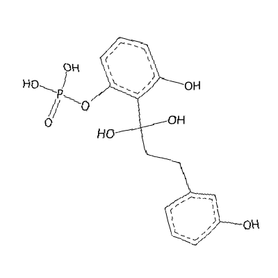 O=P(O)(O)Oc1cccc(O)c1C(O)(O)CCc1cccc(O)c1